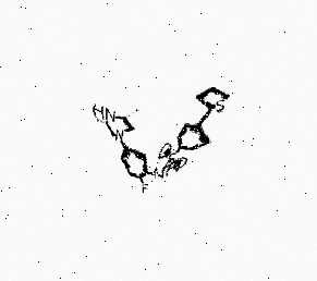 C[C@@H]1CN(c2ccc(F)c(NS(=O)(=O)c3ccc(-c4cccs4)cc3)c2)C[C@H](C)N1